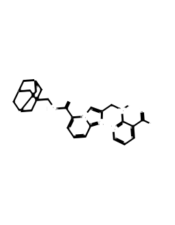 CN(Cc1cn2c(C(=O)NCC34CC5CC(CC(C5)C3)C4)cccc2n1)c1ncccc1C(=O)O